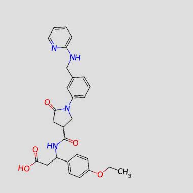 CCOc1ccc(C(CC(=O)O)NC(=O)C2CC(=O)N(c3cccc(CNc4ccccn4)c3)C2)cc1